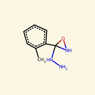 Cc1ccccc1C1(NN)NO1